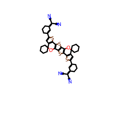 N#CC(C#N)=C1C=C(c2cc3c(s2)-c2sc4c5c(sc4c2OC32CCCCC2)-c2sc(C3=CC(=C(C#N)C#N)CCC3)cc2C2(CCCCC2)O5)CCC1